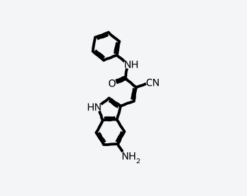 N#C/C(=C/c1c[nH]c2ccc(N)cc12)C(=O)Nc1ccccc1